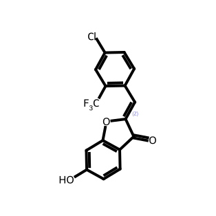 O=C1/C(=C/c2ccc(Cl)cc2C(F)(F)F)Oc2cc(O)ccc21